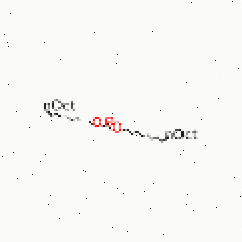 CCCCCCCC/C=C\CCCCCCCCOCC(=O)COCCCCCCCC/C=C\CCCCCCCC